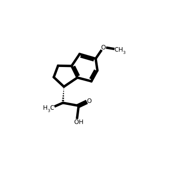 COc1ccc2c(c1)CC[C@H]2C(C)C(=O)O